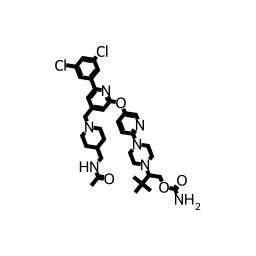 CC(=O)NCC1CCN(Cc2cc(Oc3ccc(N4CCN(C(COC(N)=O)C(C)(C)C)CC4)nc3)nc(-c3cc(Cl)cc(Cl)c3)c2)CC1